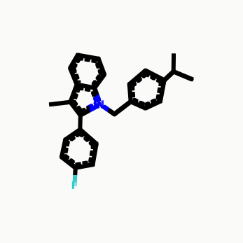 Cc1c(-c2ccc(F)cc2)n(Cc2ccc(C(C)C)cc2)c2ccccc12